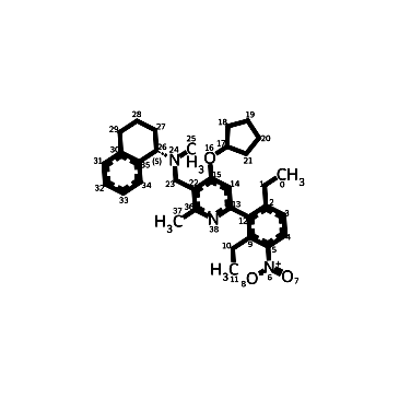 CCc1ccc([N+](=O)[O-])c(CC)c1-c1cc(OC2CCCC2)c(CN(C)[C@H]2CCCc3ccccc32)c(C)n1